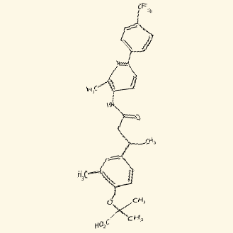 Cc1cc(C(C)CC(=O)Nc2ccc(-c3ccc(C(F)(F)F)cc3)nc2C)ccc1OC(C)(C)C(=O)O